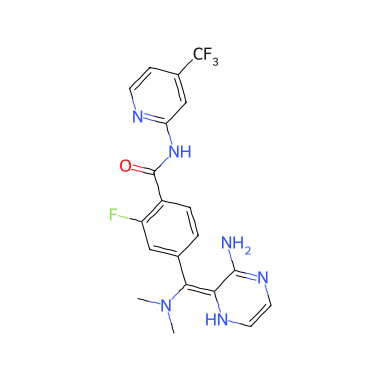 CN(C)/C(=C1\NC=CN=C1N)c1ccc(C(=O)Nc2cc(C(F)(F)F)ccn2)c(F)c1